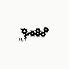 CC1=CCC(C(=C/CN)/C=C/C2CC=C(C3C=CC(C4CCCC(C5=CC=CCC5)C4)C4C=CCCC34)CC2)CCC1